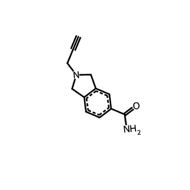 C#CCN1Cc2ccc(C(N)=O)cc2C1